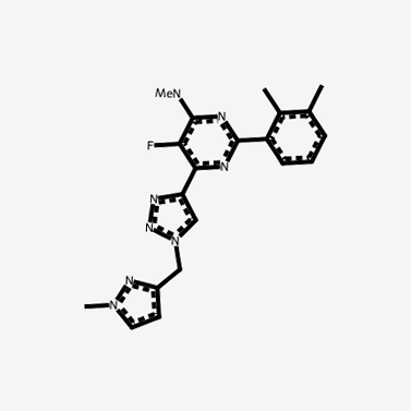 CNc1nc(-c2cccc(C)c2C)nc(-c2cn(Cc3ccn(C)n3)nn2)c1F